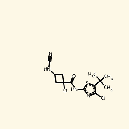 CC(C)(C)c1sc(NC(=O)C2(Cl)CC(NC#N)C2)nc1Cl